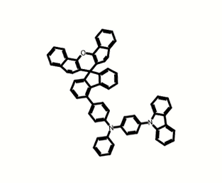 c1ccc(N(c2ccc(-c3cccc4c3-c3ccccc3C43c4ccc5ccccc5c4Oc4c3ccc3ccccc43)cc2)c2ccc(-n3c4ccccc4c4ccccc43)cc2)cc1